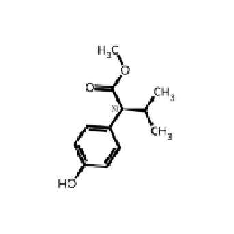 COC(=O)[C@H](c1ccc(O)cc1)C(C)C